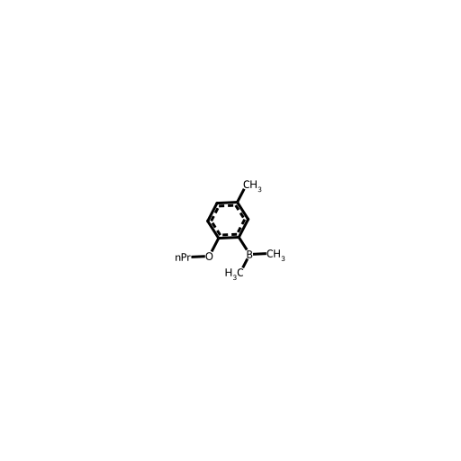 CCCOc1ccc(C)cc1B(C)C